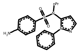 CCCN(c1ccnn1-c1ccccc1)S(=O)(=O)c1ccc(N)cc1